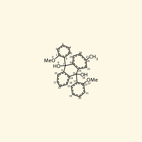 COc1ccccc1C1(O)c2ccccc2C(O)(c2ccccc2OC)c2cc(C)ccc21